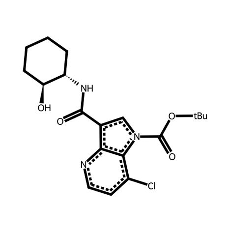 CC(C)(C)OC(=O)n1cc(C(=O)N[C@H]2CCCC[C@@H]2O)c2nccc(Cl)c21